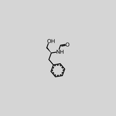 O=CN[C@H](CO)Cc1ccccc1